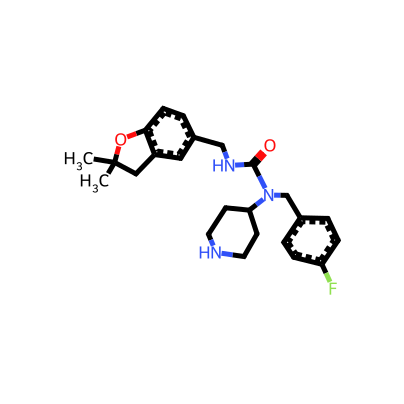 CC1(C)Cc2cc(CNC(=O)N(Cc3ccc(F)cc3)C3CCNCC3)ccc2O1